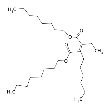 CCCCCCCCOC(=O)C(CC)=C(CCCCCC)C(=O)OCCCCCCCC